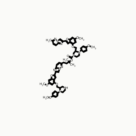 COc1ccc(N2CCNCC2COc2cc(OC)cc3oc(-c4cn5nc(CCC(C)(C)OC(=O)N6CCN(c7ccc(OC)cc7)C(COc7cc(OC)cc8oc(-c9cn%10nc(C)ccc%10n9)cc78)C6)ccc5n4)cc23)cc1